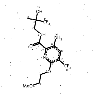 COCCOc1nc(C(=O)NCC(C)(O)C(F)(F)F)c(N)cc1C(F)(F)F